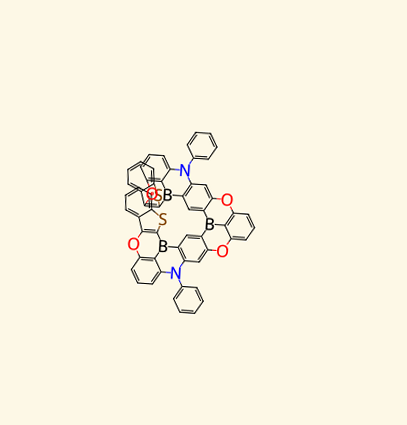 c1ccc(N2c3cc4c(cc3B3c5sc6ccccc6c5Oc5cccc2c53)B2c3cc5c(cc3Oc3cccc(c32)O4)N(c2ccccc2)c2cccc3c2B5c2sc4ccccc4c2O3)cc1